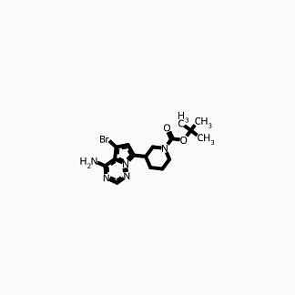 CC(C)(C)OC(=O)N1CCCC(c2cc(Br)c3c(N)ncnn23)C1